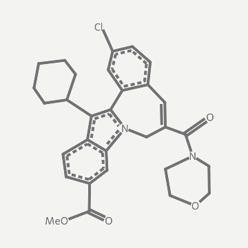 COC(=O)c1ccc2c(C3CCCCC3)c3n(c2c1)CC(C(=O)N1CCOCC1)=Cc1ccc(Cl)cc1-3